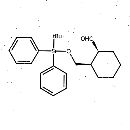 CC(C)(C)[Si](OC[C@@H]1CCCC[C@@H]1C=O)(c1ccccc1)c1ccccc1